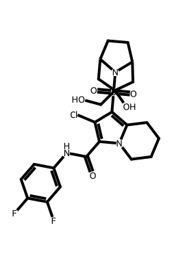 O=C(Nc1ccc(F)c(F)c1)c1c(Cl)c(S(=O)(=O)N2C3CCC2CC(O)(CO)C3)c2n1CCCC2